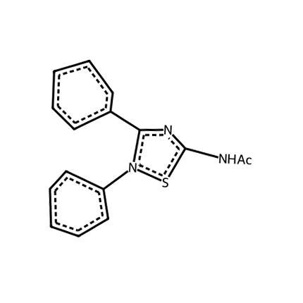 CC(=O)Nc1nc(-c2ccccc2)[n+](-c2ccccc2)s1